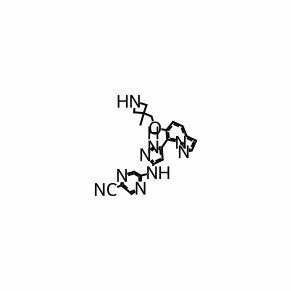 CC1(COc2ccc3ccnn3c2-c2cc(Nc3cnc(C#N)cn3)n[nH]2)CNC1